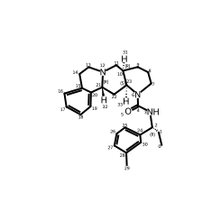 CC[C@@H](NC(=O)N1CCC[C@@H]2CN3CCc4ccccc4[C@H]3C[C@@H]21)c1cccc(C)c1